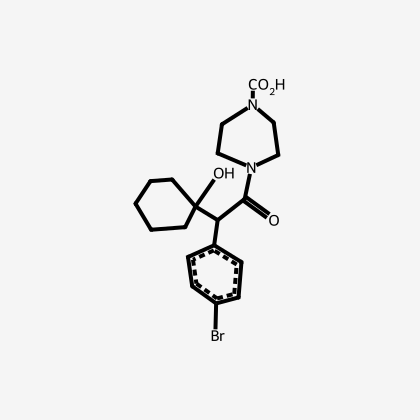 O=C(O)N1CCN(C(=O)C(c2ccc(Br)cc2)C2(O)CCCCC2)CC1